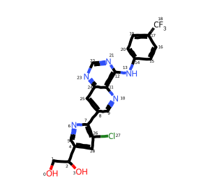 OCC(O)c1cnc(-c2cnc3c(Nc4ccc(C(F)(F)F)cc4)ncnc3c2)c(Cl)c1